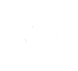 CCCCCCC(I)(I)C(N)=O